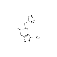 CC(Cc1cc(C(C)(C)C)no1)C(=O)Cc1nnn[nH]1